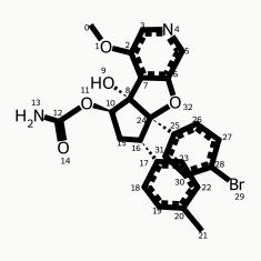 COc1cncc2c1[C@]1(O)[C@H](OC(N)=O)C[C@@H](c3ccc(C)cc3)[C@]1(c1ccc(Br)cc1)O2